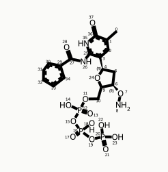 Cc1cc([C@H]2C[C@@H](ON)C(COP(=O)(O)OP(=O)(O)OP(=O)(O)O)O2)c(NC(=O)c2ccccc2)[nH]c1=O